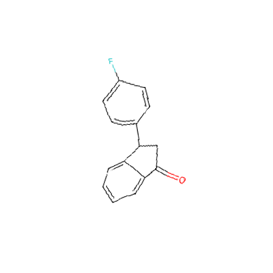 O=C1CC(c2ccc(F)cc2)c2ccccc21